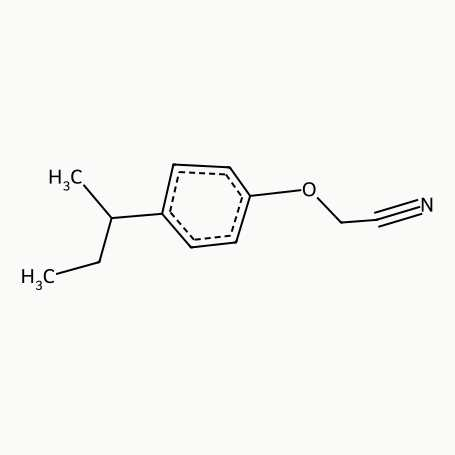 CCC(C)c1ccc(OCC#N)cc1